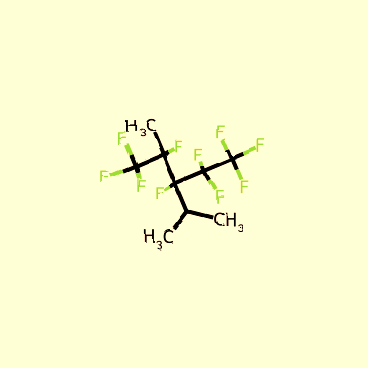 CC(C)C(F)(C(C)(F)C(F)(F)F)C(F)(F)C(F)(F)F